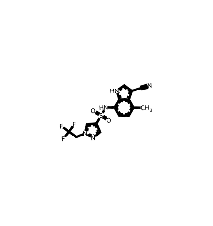 Cc1ccc(NS(=O)(=O)c2cnn(CC(F)(F)F)c2)c2[nH]cc(C#N)c12